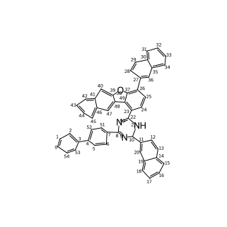 c1ccc(-c2ccc(C3=NC(c4ccc5ccccc5c4)NC(c4ccc(-c5ccc6ccccc6c5)c5oc6cc7ccccc7cc6c45)=N3)cc2)cc1